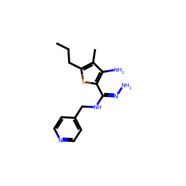 CCCc1sc(/C(=N\N)NCc2ccncc2)c(N)c1C